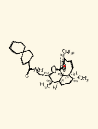 C[C@H]1[C@@H](CNC(=O)C2CCC3(CCCCC3)CC2)O[C@@H]2O[C@@]3(C)CC[C@H]4[C@H](C)CC[C@@H]1[C@@]24OO3